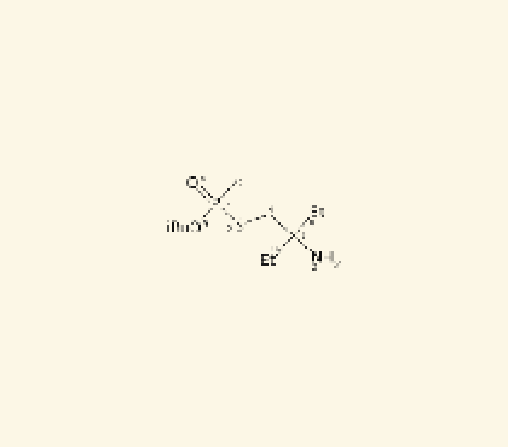 CCC(N)(CC)CSP(C)(=O)OCC(C)C